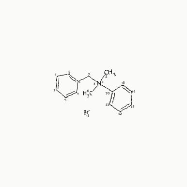 C[N+](C)(Cc1ccccc1)c1ccccc1.[Br-]